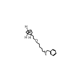 CN(CCCCCOCC[C@@H]1CC[C@H]2C[C@@H]1C2(C)C)Cc1ccccc1